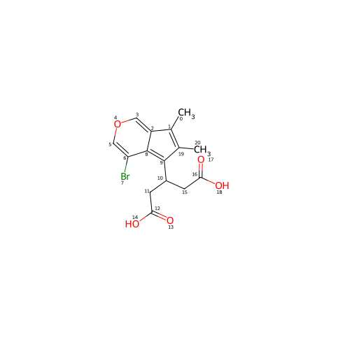 Cc1c2cocc(Br)c-2c(C(CC(=O)O)CC(=O)O)c1C